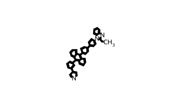 CCc1nc2ccccc2n1-c1ccc(-c2ccc(-c3c4ccccc4c(-c4cccc(-c5ccncc5)c4)c4ccccc34)cc2)cc1